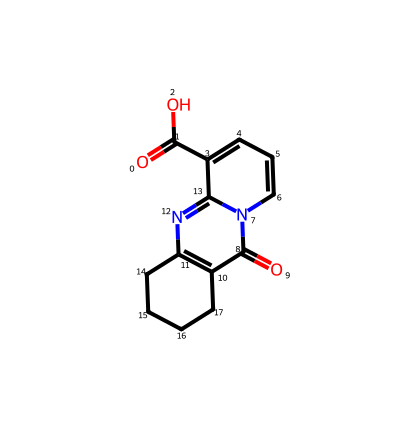 O=C(O)c1cccn2c(=O)c3c(nc12)CCCC3